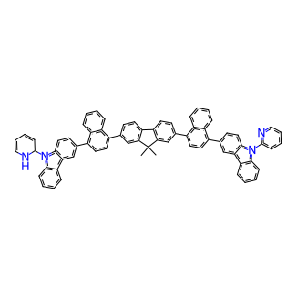 CC1(C)c2cc(-c3ccc(-c4ccc5c(c4)c4ccccc4n5-c4ccccn4)c4ccccc34)ccc2-c2ccc(-c3ccc(-c4ccc5c(c4)c4ccccc4n5C4C=CC=CN4)c4ccccc34)cc21